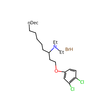 Br.CCCCCCCCCCCCCCCC(CCOc1ccc(Cl)c(Cl)c1)N(CC)CC